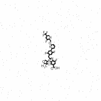 CC1(C)COCC1n1c(Cc2cc(F)c(-c3cccc(OCc4ncc(C(F)(F)F)cc4F)n3)cc2F)nc2c(F)cc(C(=O)O)cc21